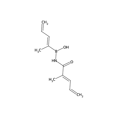 C=C/C=C(\C)B(O)NC(=O)/C(C)=C/C=C